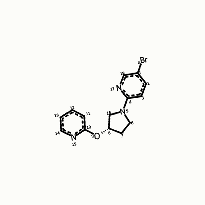 Brc1ccc(N2C[CH][C@H](Oc3ccccn3)C2)nc1